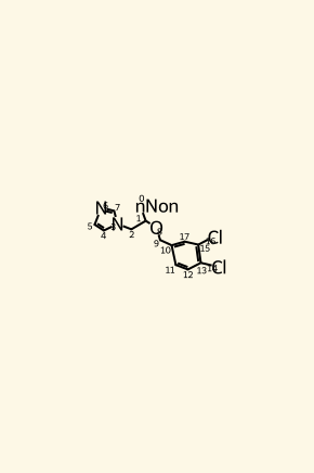 CCCCCCCCCC(Cn1ccnc1)OCc1ccc(Cl)c(Cl)c1